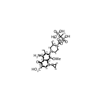 COc1c(N2CCN(C(=O)OC(C)(P(=O)(O)O)P(=O)(O)O)C(C)C2)c(C)c(N)c2c(=O)c(C(=O)O)cn(C3CC3)c12